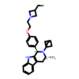 C[C@@H]1Cc2c([nH]c3ccccc23)[C@@H](c2ccc(OCCN3CC(CF)C3)cc2)N1C12CC(C1)C2